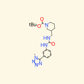 Cn1nnnc1-c1cccc(NC(=O)NCC2CCCN(C(=O)OC(C)(C)C)C2)c1